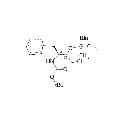 CC(C)(C)OC(=O)N[C@@H](Cc1ccccc1)[C@@H](CCl)O[Si](C)(C)C(C)(C)C